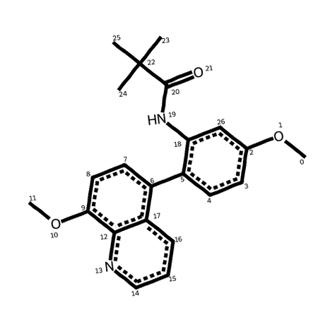 COc1ccc(-c2ccc(OC)c3ncccc23)c(NC(=O)C(C)(C)C)c1